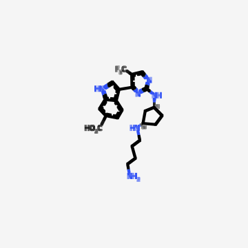 NCCCCN[C@H]1CC[C@H](Nc2ncc(C(F)(F)F)c(-c3c[nH]c4cc(C(=O)O)ccc34)n2)C1